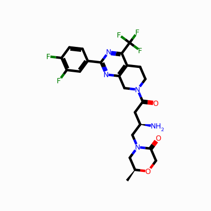 C[C@H]1CN(C[C@H](N)CC(=O)N2CCc3c(nc(-c4ccc(F)c(F)c4)nc3C(F)(F)F)C2)C(=O)CO1